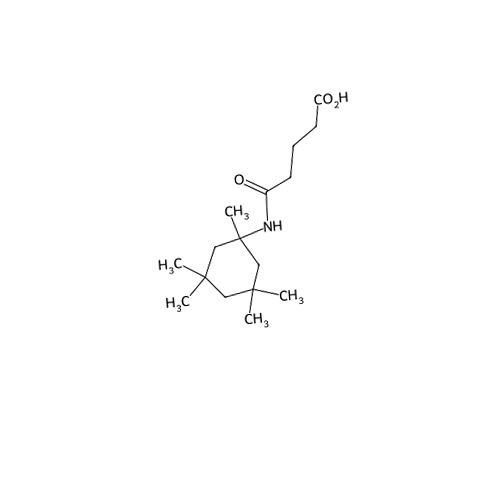 CC1(C)CC(C)(C)CC(C)(NC(=O)CCCC(=O)O)C1